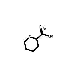 C=C(C#N)C1CCCCS1